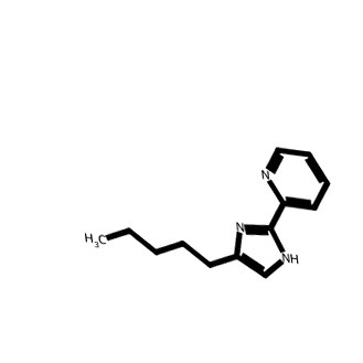 CCCCCc1c[nH]c(-c2ccccn2)n1